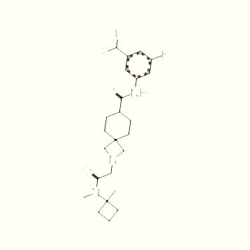 CN(C(=O)CN1CC2(CCC(C(=O)Nc3cc(F)cc(C(F)F)c3)CC2)C1)C1(C)CCC1